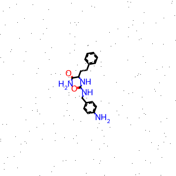 NC(=O)C(CCc1ccccc1)NC(=O)NCc1ccc(N)cc1